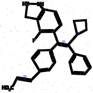 O=C(O)/C=C/c1ccc(/C(=C(\c2ccccc2)C2CCC2)c2ccc3c(c2F)CNN3)cc1